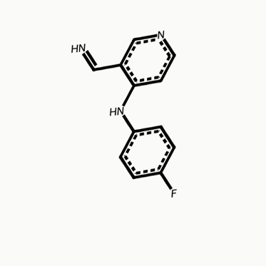 N=Cc1cnccc1Nc1ccc(F)cc1